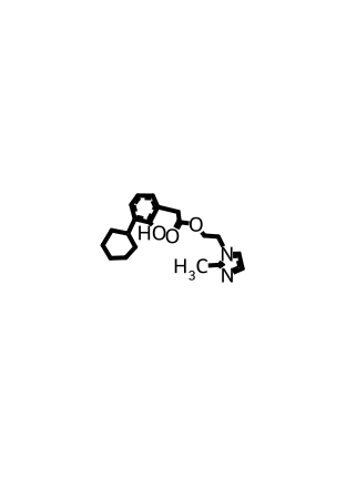 Cc1nccn1CCOC(=O)Cc1cccc(C2CCCCC2)c1O